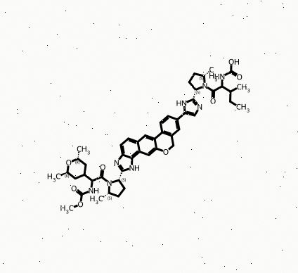 CCC(C)C(NC(=O)O)C(=O)N1[C@@H](C)CC[C@H]1c1ncc(-c2ccc3c(c2)COc2cc4c(ccc5nc([C@@H]6CC[C@H](C)N6C(=O)C(NC(=O)OC)C6C[C@@H](C)O[C@H](C)C6)[nH]c54)cc2-3)[nH]1